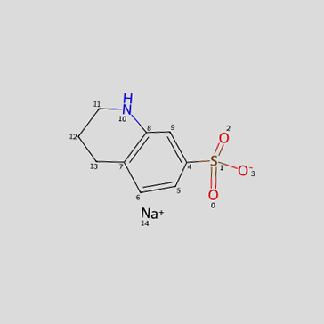 O=S(=O)([O-])c1ccc2c(c1)NCCC2.[Na+]